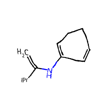 C=C(NC1=CCCC=C1)C(C)C